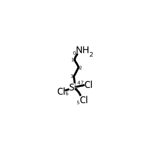 NCCC[Si](Cl)(Cl)Cl